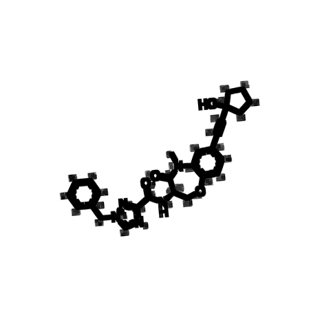 CN1C(=O)[C@H](NC(=O)c2ncn(Cc3ccccc3)n2)COc2ccc(C#CC3(O)CCCC3)cc21